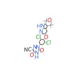 CC1(C)COC(C)(C)c2[nH]c3ncc(Oc4c(Cl)cc(-n5nc(C#N)c(=O)[nH]c5=O)cc4Cl)cc3c21